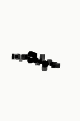 CC(C)(C)OC(=O)N/N=C1\CCN(C(=O)O)C1